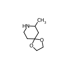 CC1CC2(CCN1)OCCO2